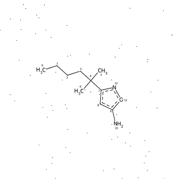 CCCCC(C)(C)c1cc(N)on1